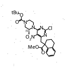 COC(=O)C1(Cc2nc(Cl)nc(N3CCN(C(=O)OC(C)(C)C)C[C@@H]3C)c2[N+](=O)[O-])CCCc2ccccc21